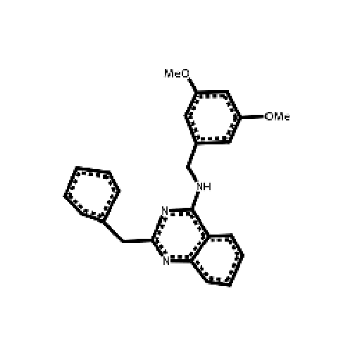 COc1cc(CNc2nc(Cc3ccccc3)nc3ccccc23)cc(OC)c1